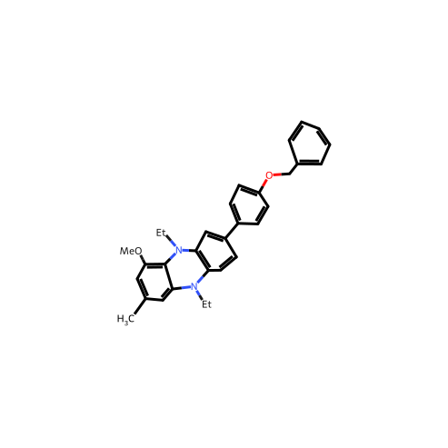 CCN1c2ccc(-c3ccc(OCc4ccccc4)cc3)cc2N(CC)c2c(OC)cc(C)cc21